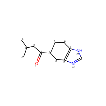 CC(C)CC(=O)C1CCc2[nH]cnc2C1